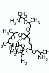 CC(N)COC(C)CCCC(COCC(C)OCC(C)N)(COCC(C)OCC(C)N)COCC(C)OCC(C)N